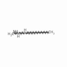 CCCCCCCCCCCCCCCCC=CNCCCCNCCC(C)N